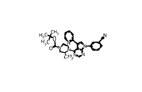 C[C@H]1CN(C(=O)OC(C)(C)C)CCN1c1ncnc2c1c(-c1ccccn1)cn2-c1cccc(C#N)c1